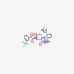 O=C(C(O)c1cccc(C(F)(F)F)c1)N1CCCc2nc(C3(c4cccc(-c5cnsc5)c4)CC3)[nH]c(=O)c2C1